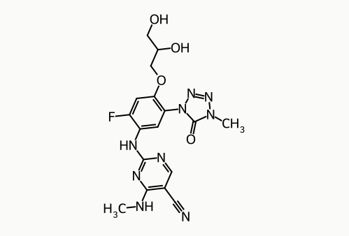 CNc1nc(Nc2cc(-n3nnn(C)c3=O)c(OCC(O)CO)cc2F)ncc1C#N